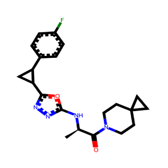 C[C@@H](Nc1nnc(C2CC2c2ccc(F)cc2)o1)C(=O)N1CCC2(CC1)CC2